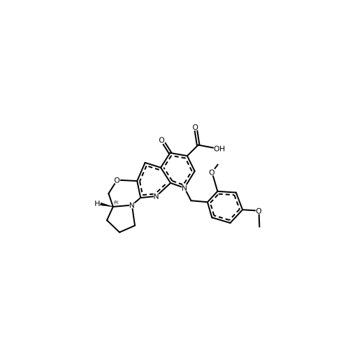 COc1ccc(Cn2cc(C(=O)O)c(=O)c3cc4c(nc32)N2CCC[C@@H]2CO4)c(OC)c1